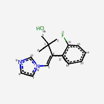 CC(C)(C)C(=Cn1ccnc1)c1ccccc1F.Cl